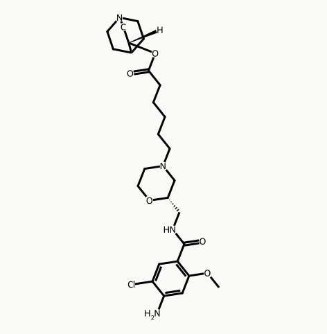 COc1cc(N)c(Cl)cc1C(=O)NC[C@H]1CN(CCCCCC(=O)O[C@H]2CN3CCC2CC3)CCO1